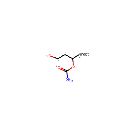 CCCCCC(CCO)OC(N)=O